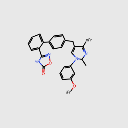 CCCC1=NC(C)N(c2cccc(OC(C)C)c2)C=C1Cc1ccc(-c2ccccc2-c2noc(=O)[nH]2)cc1